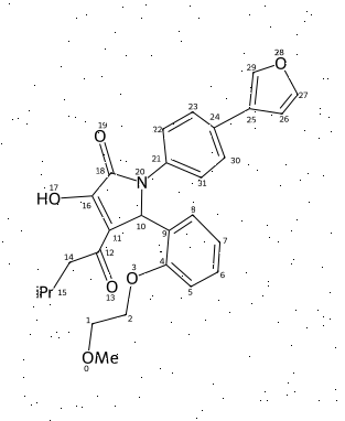 COCCOc1ccccc1C1C(C(=O)CC(C)C)=C(O)C(=O)N1c1ccc(-c2ccoc2)cc1